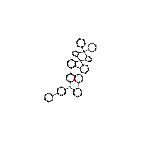 c1ccc(-c2ccc(N(c3ccc(-c4cccc5c4-c4ccccc4C54c5ccccc5C(c5ccccc5)(c5ccccc5)c5ccccc54)cc3)c3ccccc3-c3ccccc3)cc2)cc1